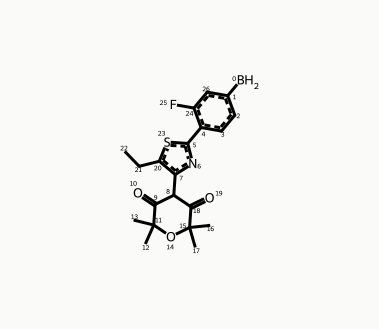 Bc1ccc(-c2nc(C3C(=O)C(C)(C)OC(C)(C)C3=O)c(CC)s2)c(F)c1